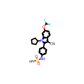 CCCS(=O)(=O)Nc1ccc(-c2c(C#N)c3ccc(OC(F)F)cc3n2C2CCCC2)cc1